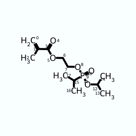 C=C(C)C(=O)OCCOP(=O)(OC(C)C)C(C)C